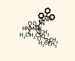 CS[C@H]1NC(=O)[C@H]1NC(=O)C(=NOC(C)(C)C(=O)OCC[Si](C)(C)C)c1csc(NC(c2ccccc2)(c2ccccc2)c2ccccc2)n1